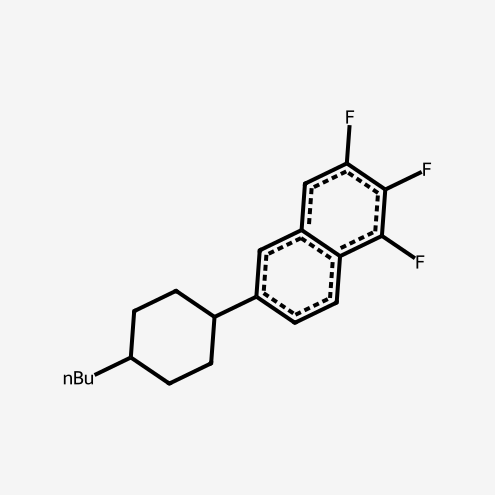 CCCCC1CCC(c2ccc3c(F)c(F)c(F)cc3c2)CC1